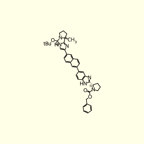 CC(C)(C)OC(=O)N1CCC[C@]1(C)c1nc(-c2ccc3cc(-c4ccc5[nH]c([C@@H]6CCCN6C(=O)OCc6ccccc6)nc5c4)ccc3c2)c[nH]1